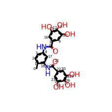 Cc1ccc(NC(=O)c2cc(O)c(O)c(O)c2)cc1NC(=O)c1cc(O)c(O)c(O)c1